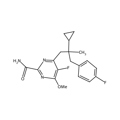 COc1nc(C(N)=O)nc(CC(C)(Cc2ccc(F)cc2)C2CC2)c1F